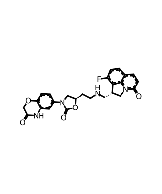 O=C1COc2ccc(N3C[C@@H](CCNC[C@H]4Cn5c(=O)ccc6ccc(F)c4c65)OC3=O)cc2N1